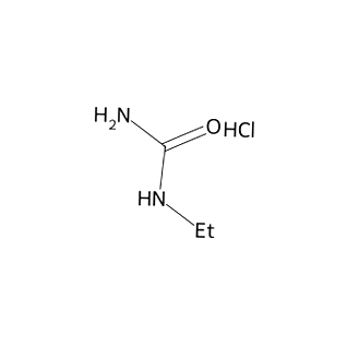 CCNC(N)=O.Cl